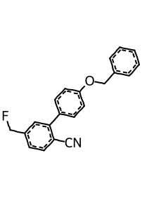 N#Cc1ccc(CF)cc1-c1ccc(OCc2ccccc2)cc1